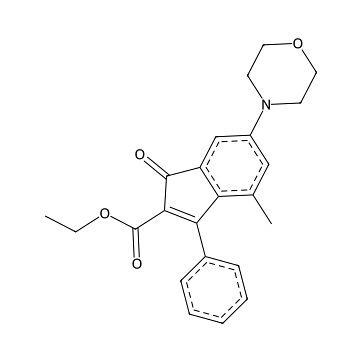 CCOC(=O)C1=C(c2ccccc2)c2c(C)cc(N3CCOCC3)cc2C1=O